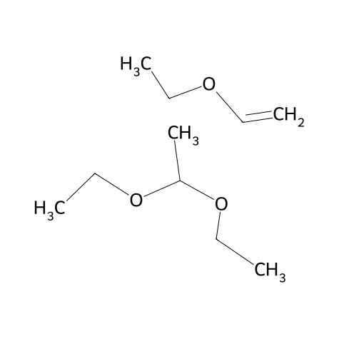 C=COCC.CCOC(C)OCC